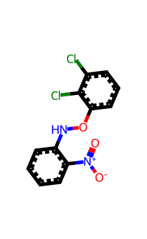 O=[N+]([O-])c1ccccc1NOc1cccc(Cl)c1Cl